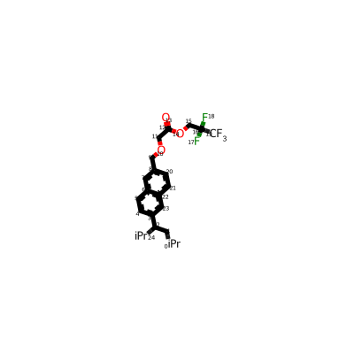 CC(C)CC(c1ccc2cc(COCC(=O)OCC(F)(F)C(F)(F)F)ccc2c1)C(C)C